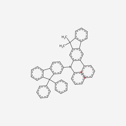 CC1(C)c2ccccc2-c2cc(-c3ccccc3)c(N(c3ccccc3)c3ccc4c(c3)C(c3ccccc3)(c3ccccc3)c3ccccc3-4)cc21